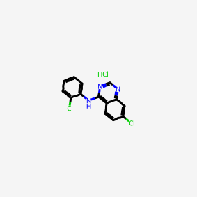 Cl.Clc1ccc2c(Nc3ccccc3Cl)ncnc2c1